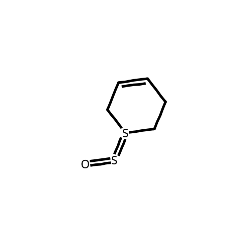 O=S=S1CC=CCC1